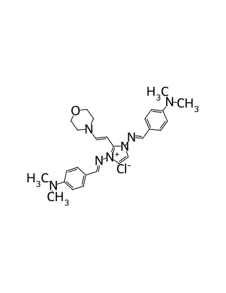 CN(C)c1ccc(/C=N/n2cc[n+](/N=C/c3ccc(N(C)C)cc3)c2/C=C/N2CCOCC2)cc1.[Cl-]